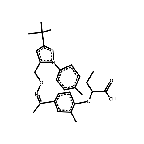 CCC(Oc1ccc(/C(C)=N\OCc2cc(C(C)(C)C)nn2-c2ccc(C)cc2)cc1C)C(=O)O